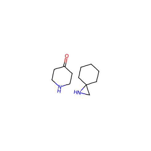 C1CCC2(CC1)CN2.O=C1CCNCC1